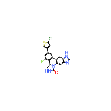 O=C1NCC2c3c(F)cc(-c4csc(Cl)c4)cc3-c3cc4[nH]cnc4cc3N12